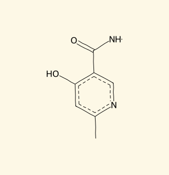 Cc1cc(O)c(C([NH])=O)cn1